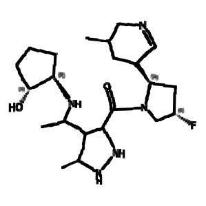 CC1CN=CC([C@H]2C[C@H](F)CN2C(=O)C2NNC(C)C2C(C)N[C@@H]2CCC[C@H]2O)C1